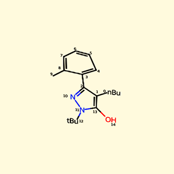 CCCCc1c(-c2ccccc2C)nn(C(C)(C)C)c1O